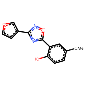 COc1ccc(O)c(-c2nc(-c3ccoc3)no2)c1